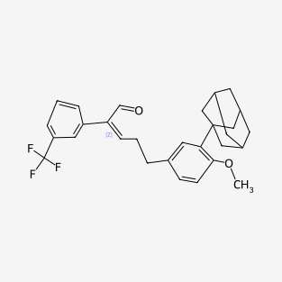 COc1ccc(CC/C=C(\C=O)c2cccc(C(F)(F)F)c2)cc1C12CC3CC(CC(C3)C1)C2